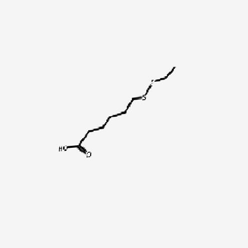 CCSSCCCCCC(=O)O